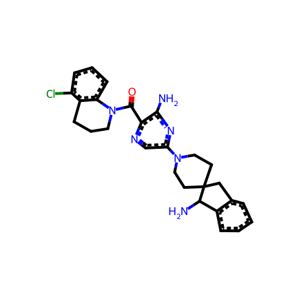 Nc1nc(N2CCC3(CC2)Cc2ccccc2C3N)cnc1C(=O)N1CCCc2c(Cl)cccc21